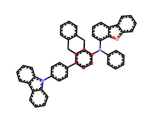 c1ccc(N(c2ccc(-c3ccc(-n4c5ccccc5c5ccccc54)cc3)c3c2C2c4ccccc4C3c3ccccc32)c2cccc3c2oc2ccccc23)cc1